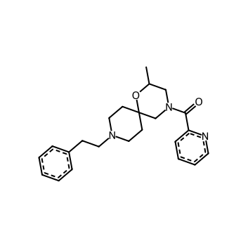 CC1CN(C(=O)c2ccccn2)CC2(CCN(CCc3ccccc3)CC2)O1